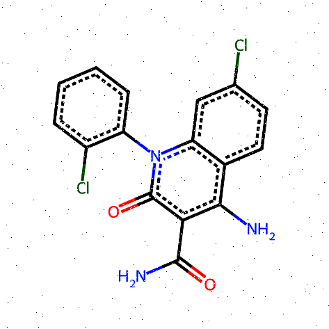 NC(=O)c1c(N)c2ccc(Cl)cc2n(-c2ccccc2Cl)c1=O